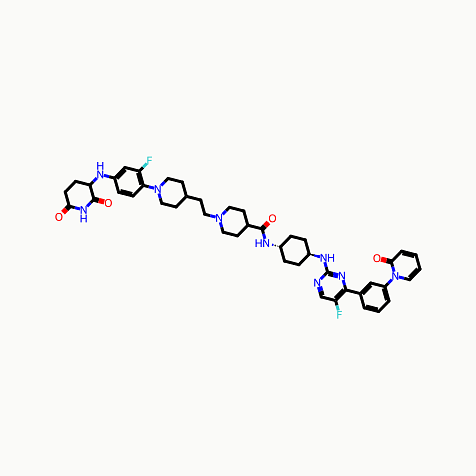 O=C1CCC(Nc2ccc(N3CCC(CCN4CCC(C(=O)N[C@H]5CC[C@H](Nc6ncc(F)c(-c7cccc(-n8ccccc8=O)c7)n6)CC5)CC4)CC3)c(F)c2)C(=O)N1